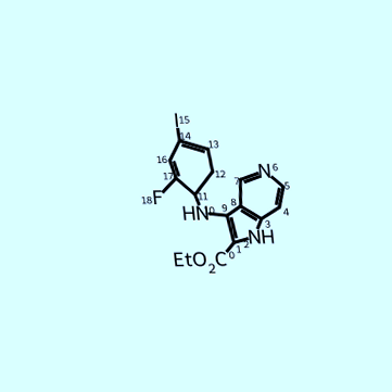 CCOC(=O)c1[nH]c2ccncc2c1NC1CC=C(I)C=C1F